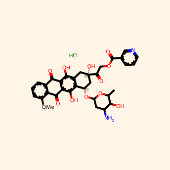 COc1cccc2c1C(=O)c1c(O)c3c(c(O)c1C2=O)C[C@@](O)(C(=O)COC(=O)c1cccnc1)C[C@@H]3OC1CC(N)C(O)C(C)O1.Cl